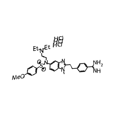 CCN(CC)CCN(c1ccc2c(c1)nc(CCc1ccc(C(=N)N)cc1)n2C)S(=O)(=O)c1ccc(OC)cc1.Cl.Cl.Cl